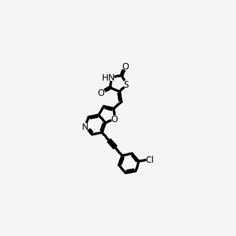 O=C1NC(=O)/C(=C\c2cc3cncc(C#Cc4cccc(Cl)c4)c3o2)S1